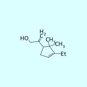 C=C(CO)C1CC=C(CC)C1(C)C